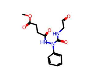 COC(=O)CCC(=O)NN(C(=O)NC[C]=O)c1ccccc1